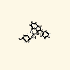 Cc1ccc(NC(=O)Nc2c(-c3ccccc3)nc3ccccn23)cc1